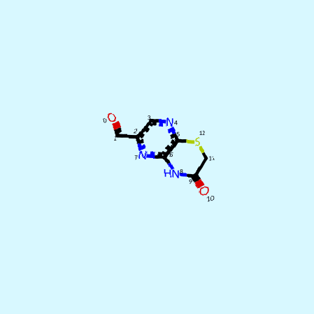 O=Cc1cnc2c(n1)NC(=O)CS2